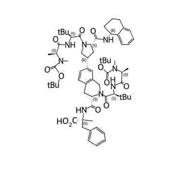 C[C@@H](C(=O)N[C@H](C(=O)N1C[C@@H](c2ccc3c(c2)CN(C(=O)[C@@H](NC(=O)[C@H](C)N(C)C(=O)OC(C)(C)C)C(C)(C)C)[C@H](C(=O)N[C@@](C)(Cc2ccccc2)C(=O)O)C3)C[C@H]1C(=O)N[C@@H]1CCCc2ccccc21)C(C)(C)C)N(C)C(=O)OC(C)(C)C